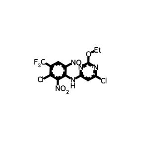 CCOc1nc(Cl)cc(Nc2c([N+](=O)[O-])cc(C(F)(F)F)c(Cl)c2[N+](=O)[O-])n1